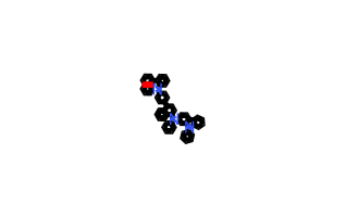 C1=CCCC(N(C2C=CC3C4=C(CCC=C4)N(c4ccccc4)C3C2)C2CCC(C3CCC(N(c4ccccc4)c4ccccc4C4=CCCC=C4)CC3)c3ccccc32)=C1